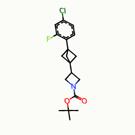 CC(C)(C)OC(=O)N1CC(C23CC(c4ccc(Cl)cc4F)(C2)C3)C1